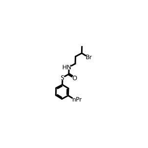 CCCc1cccc(SC(=O)NCCC(C)Br)c1